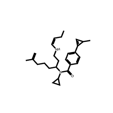 C=C(C)CCCC(CCN/C=C\CC)N(C(=O)c1ccc(C2=CC2C)cc1)C1CC1